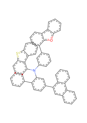 c1ccc(-c2ccc(-c3cc4ccccc4c4ccccc34)cc2N(c2cccc(-c3cccc4c3oc3ccccc34)c2)c2cccc3sc4ccccc4c23)cc1